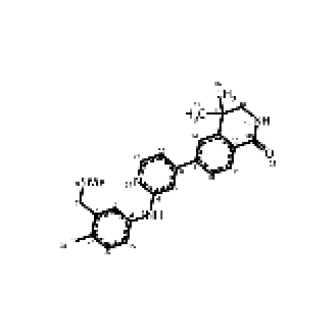 CSCc1cc(Nc2cc(-c3ccc4c(c3)C(C)(C)CNC4=O)ccn2)ccc1F